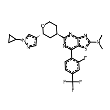 CN(C)c1nc2nc([C@@H]3CCO[C@@H](c4cnn(C5CC5)c4)C3)nc(-c3ccc(C(F)(F)F)cc3F)c2s1